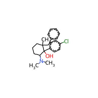 CN(C)C1CCCC(C)(Cc2ccccc2)C1(O)c1ccc(Cl)cc1